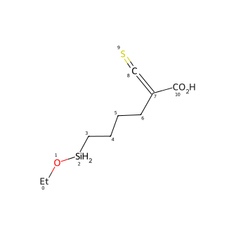 CCO[SiH2]CCCCC(=C=S)C(=O)O